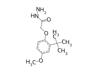 COc1ccc(OCC(=O)NN)c(C(C)(C)C)c1